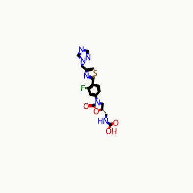 O=C(O)NC[C@H]1CN(c2ccc(-c3nc(Cn4cncn4)cs3)c(F)c2)C(=O)O1